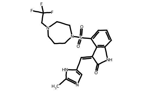 Cc1ncc(/C=C2\C(=O)Nc3cccc(S(=O)(=O)N4CCCN(CC(F)(F)F)CC4)c32)[nH]1